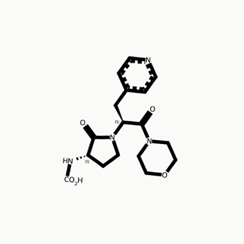 O=C(O)N[C@H]1CCN([C@@H](Cc2ccncc2)C(=O)N2CCOCC2)C1=O